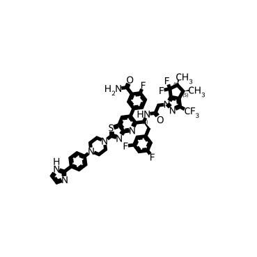 C[C@@H]1c2c(C(F)(F)F)nn(CC(=O)N[C@@H](Cc3cc(F)cc(F)c3)c3nc4nc(N5CCN(c6ccc(-c7ncc[nH]7)cc6)CC5)sc4cc3-c3ccc(F)c(C(N)=O)c3)c2C(F)(F)[C@@H]1C